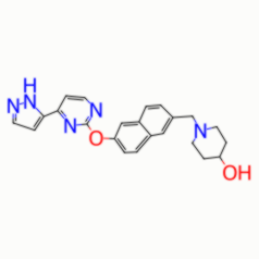 OC1CCN(Cc2ccc3cc(Oc4nccc(-c5ccn[nH]5)n4)ccc3c2)CC1